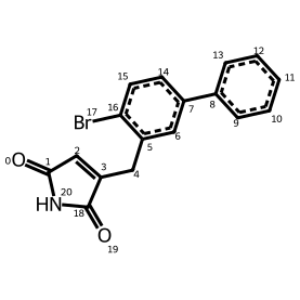 O=C1C=C(Cc2cc(-c3ccccc3)ccc2Br)C(=O)N1